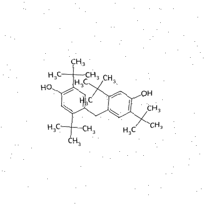 CC(C)(C)c1cc(Cc2cc(C(C)(C)C)c(O)cc2C(C)(C)C)c(C(C)(C)C)cc1O